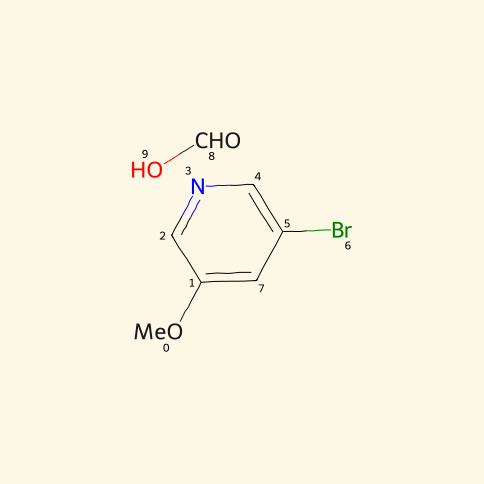 COc1cncc(Br)c1.O=CO